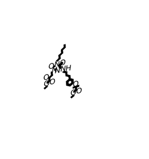 CCCCCCCn1c(=O)c(NCCCCc2cccc(OC(C)(C)C(=O)OCC)c2)nn(CCC(=O)C(=O)OCC)c1=O